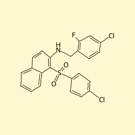 O=S(=O)(c1ccc(Cl)cc1)c1c(NCc2ccc(Cl)cc2F)ccc2ccccc12